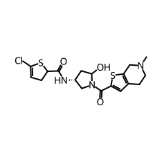 CN1CCc2cc(C(=O)N3C[C@H](NC(=O)C4CC=C(Cl)S4)CC3O)sc2C1